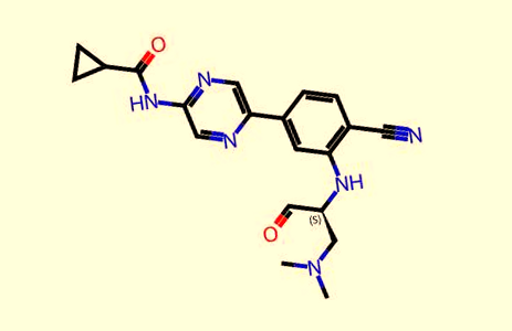 CN(C)C[C@@H](C=O)Nc1cc(-c2cnc(NC(=O)C3CC3)cn2)ccc1C#N